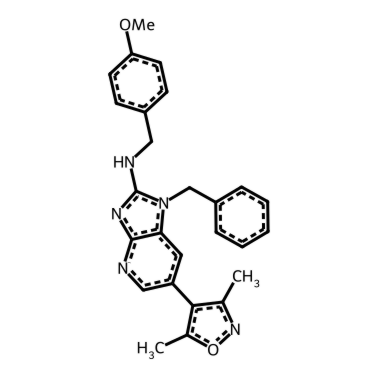 COc1ccc(CNc2nc3ncc(-c4c(C)noc4C)cc3n2Cc2ccccc2)cc1